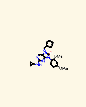 COc1ccc(-n2c(=O)n(Cc3ccccc3)c3cnc(NC4CC4)nc32)c(OC)c1